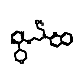 CCCN(CCOc1nccnc1C1CCOCC1)c1ccc2ccccc2n1